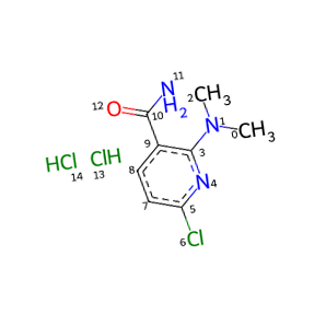 CN(C)c1nc(Cl)ccc1C(N)=O.Cl.Cl